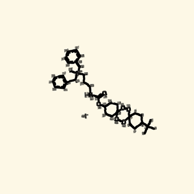 CC(C)(C)C1CCC2(CC1)OOC1(CCC(OC(=O)NCCC[N+](C)(Cc3ccccc3)Cc3ccccc3)CC1)OO2.[I-]